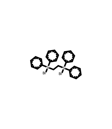 Br[Si](CC[Si](Br)(c1ccccc1)c1ccccc1)(c1ccccc1)c1ccccc1